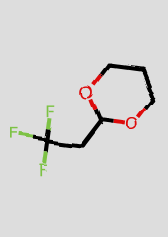 FC(F)(F)C[C]1OCCCO1